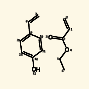 C=CC(=O)OCC.C=Cc1ccc(O)cc1